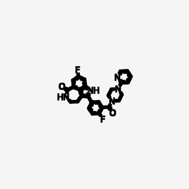 O=C1NCCc2c(-c3ccc(F)c(C(=O)N4CCN(c5ccccn5)CC4)c3)[nH]c3cc(F)cc1c23